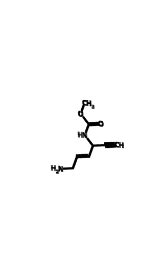 C#CC(C=CCN)NC(=O)OC